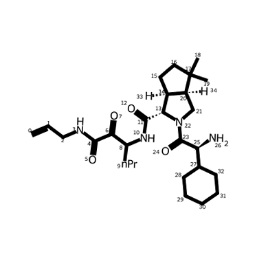 C=CCNC(=O)C(=O)C(CCC)NC(=O)[C@@H]1[C@H]2CCC(C)(C)[C@H]2CN1C(=O)[C@@H](N)C1CCCCC1